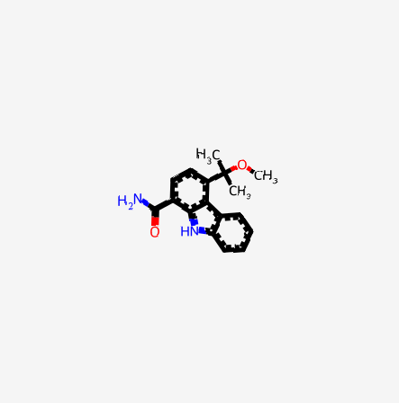 COC(C)(C)c1ccc(C(N)=O)c2[nH]c3ccccc3c12